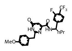 CCC[C@@H](NC(=O)c1cc(=O)[nH]c(Cc2ccc(OC)cc2)n1)c1ccc(C(F)(F)F)c(F)c1